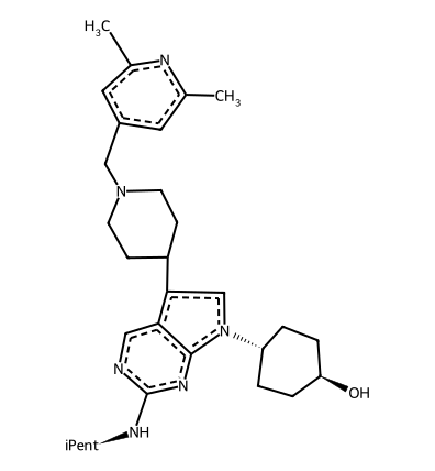 CCC[C@H](C)Nc1ncc2c(C3CCN(Cc4cc(C)nc(C)c4)CC3)cn([C@H]3CC[C@H](O)CC3)c2n1